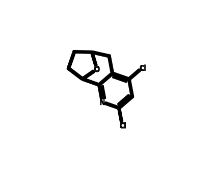 Clc1cc(Cl)c2c(n1)C1CCC(C2)O1